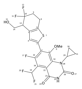 COc1c(-c2cc3c(s2)CCC(F)(F)C3CO)c(F)c(C(F)F)c2c(=O)[nH]c(=O)n(C3CC3)c12